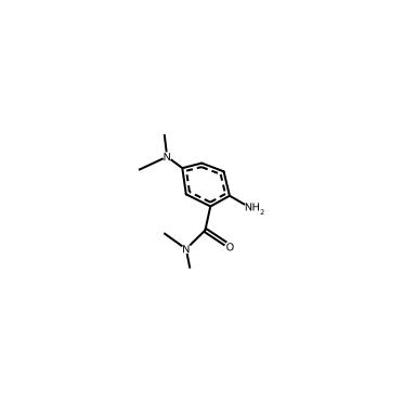 CN(C)C(=O)c1cc(N(C)C)ccc1N